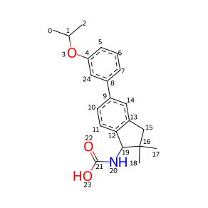 CC(C)Oc1cccc(-c2ccc3c(c2)CC(C)(C)C3NC(=O)O)c1